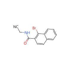 N#CCNC(=O)c1ccc2ccccc2c1Br